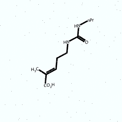 CCCNC(=O)NCC/C=C(\C)C(=O)O